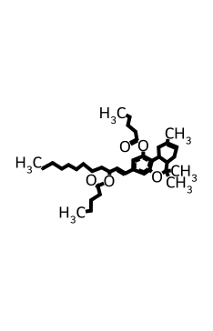 CCCCCCCCCC(C=Cc1cc(OC(=O)CCCC)c2c(c1)OC(C)(C)C1CC=C(C)CC21)OC(=O)CCCC